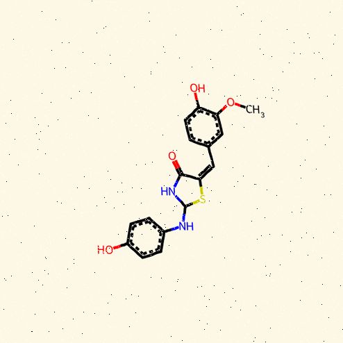 COc1cc(C=C2SC(Nc3ccc(O)cc3)NC2=O)ccc1O